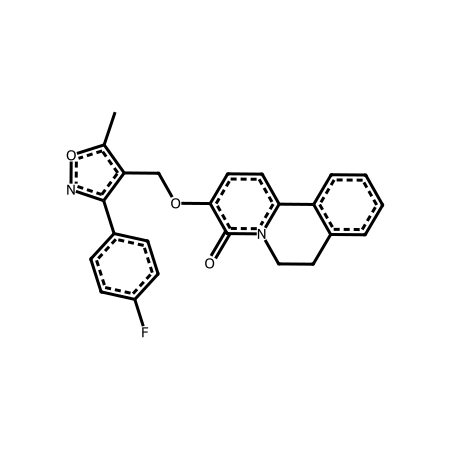 Cc1onc(-c2ccc(F)cc2)c1COc1ccc2n(c1=O)CCc1ccccc1-2